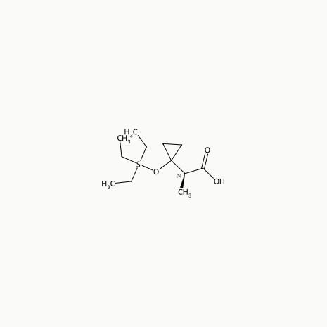 CC[Si](CC)(CC)OC1([C@H](C)C(=O)O)CC1